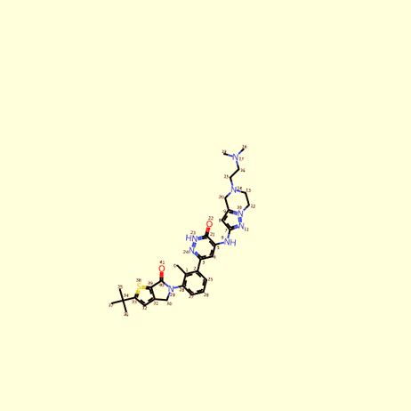 Cc1c(-c2cc(Nc3cc4n(n3)CCN(CCN(C)C)C4)c(=O)[nH]n2)cccc1N1Cc2cc(C(C)(C)C)sc2C1=O